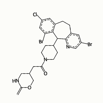 C=C1NCC(CC(=O)N2CCC(C3c4ncc(Br)cc4CCc4cc(Cl)cc(Br)c43)CC2)CO1